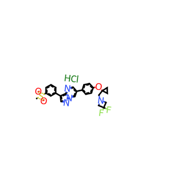 CS(=O)(=O)c1cccc(-c2cnn3cc(-c4ccc(OC5(CN6CC(F)(F)C6)CC5)cc4)cnc23)c1.Cl